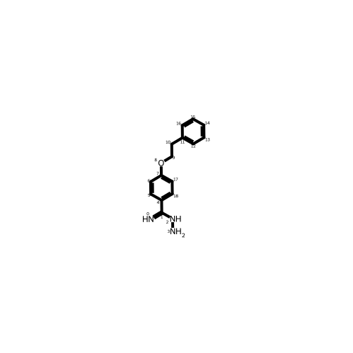 N=C(NN)c1ccc(OCCc2ccccc2)cc1